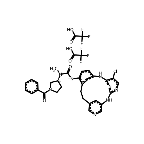 CN(C(=O)Nc1ccc2cc1CCc1cncc(c1)Nc1ncc(Cl)c(n1)N2)[C@H]1CCN(C(=O)c2ccccc2)C1.O=C(O)C(F)(F)F.O=C(O)C(F)(F)F